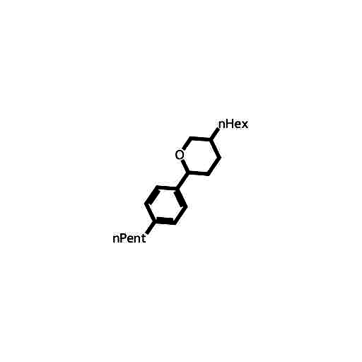 CCCCCCC1CCC(c2ccc(CCCCC)cc2)OC1